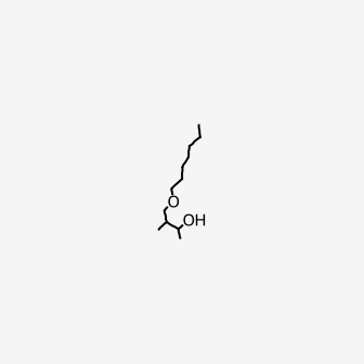 CCCCCCCOCC(C)C(C)O